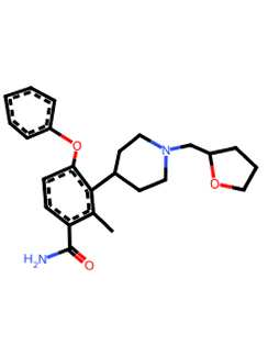 Cc1c(C(N)=O)ccc(Oc2ccccc2)c1C1CCN(CC2CCCO2)CC1